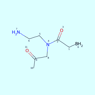 BCC(=O)N(CCN)CC(C)=O